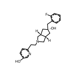 Oc1ccc(CCN2C[C@@H]3C[C@@](O)(Cc4ccccc4F)C[C@@H]3C2)nc1